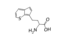 NC(CCc1ccc2cccsc1-2)C(=O)O